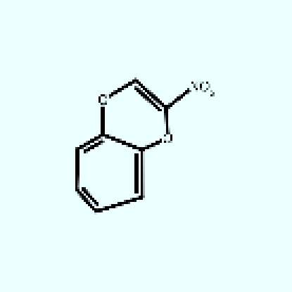 O=[N+]([O-])C1=COc2ccccc2O1